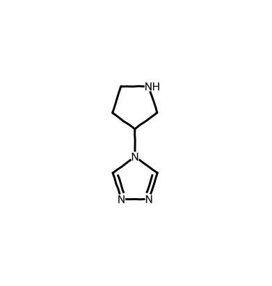 c1nncn1C1CCNC1